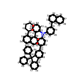 c1ccc(C2(c3ccccc3)c3ccccc3-c3ccc(-c4ccc(N(c5cccc(-c6cccc7ccccc67)c5)c5ccccc5-c5cccc6cccc(C7CCCCC7)c56)cc4)cc32)cc1